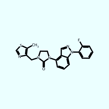 Cc1scnc1CN1CCN(c2cccc3c2cnn3-c2ccccc2F)C1=O